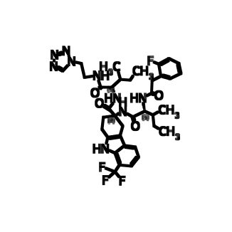 CCC(C)[C@H](NC(=O)Cc1ccccc1F)C(=O)N[C@]1(C(=O)N[C@H](C(=O)NCCn2cnnn2)C(C)CC)CCc2[nH]c3c(C(F)(F)F)cccc3c2C1